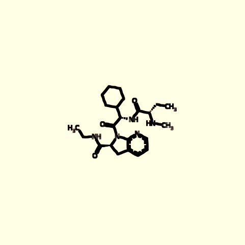 CCNC(=O)[C@@H]1Cc2cccnc2N1C(=O)[C@@H](NC(=O)[C@H](CC)NC)C1CCCCC1